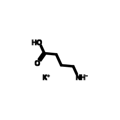 [K+].[NH-]CCCC(=O)O